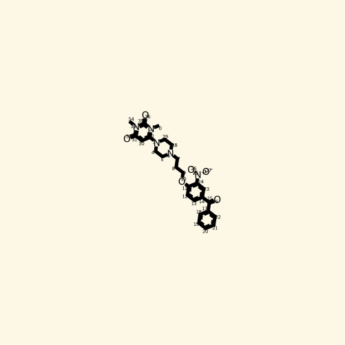 Cn1c(N2CCN(CCCOc3ccc(C(=O)c4ccccc4)cc3[N+](=O)[O-])CC2)cc(=O)n(C)c1=O